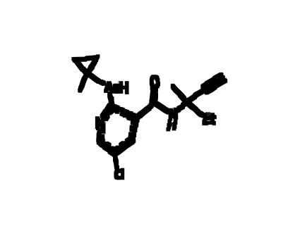 C#CC(C)(CC)NC(=O)c1cc(Cl)cnc1[AsH]C1(C)CC1